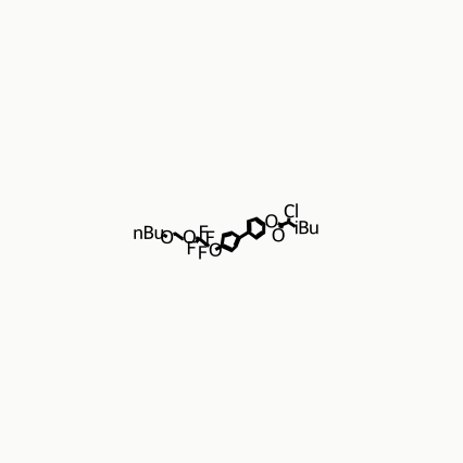 CCCCOCCOC(F)(F)C(F)(F)Oc1ccc(-c2ccc(OC(=O)C(Cl)C(C)CC)cc2)cc1